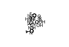 [2H]C([2H])(Nc1nc(C)c(-c2nc3c(C4CC4)nccc3s2)c(N[C@@H]2C[C@H](CS(C)(=O)=O)[C@@H](O)[C@H]2O)n1)c1c(F)cccc1F